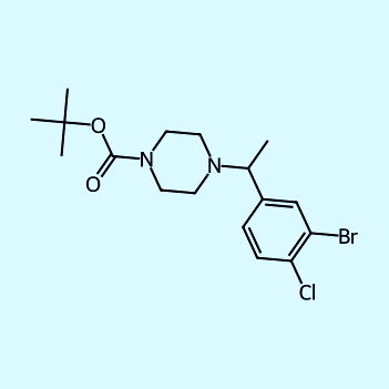 CC(c1ccc(Cl)c(Br)c1)N1CCN(C(=O)OC(C)(C)C)CC1